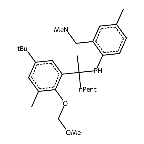 CCCCCC(C)(Pc1ccc(C)cc1CNC)c1cc(C(C)(C)C)cc(C)c1OCOC